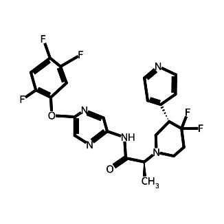 C[C@@H](C(=O)Nc1cnc(Oc2cc(F)c(F)cc2F)cn1)N1CCC(F)(F)[C@@H](c2ccncc2)C1